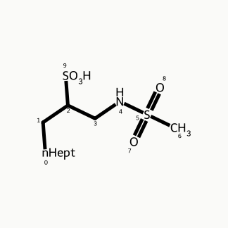 CCCCCCCCC(CNS(C)(=O)=O)S(=O)(=O)O